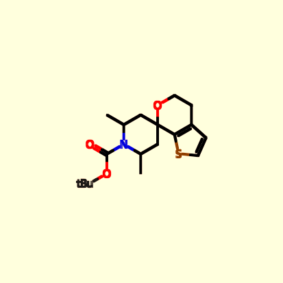 CC1CC2(CC(C)N1C(=O)OC(C)(C)C)OCCc1ccsc12